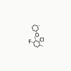 Cc1ccc(F)c(COc2c[c]ccc2)c1Cl